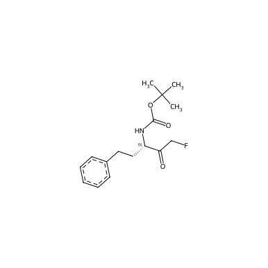 CC(C)(C)OC(=O)N[C@@H](CCc1ccccc1)C(=O)CF